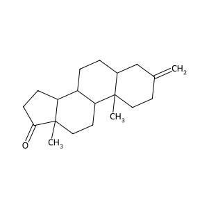 C=C1CCC2(C)C(CCC3C4CCC(=O)C4(C)CCC32)C1